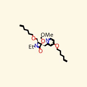 C=CCCCCOC[C@@H]1N(CC)C(=O)[C@]1(Cc1cc(OCCCCC=C)ccn1)OCOC